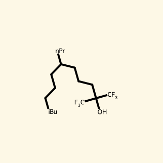 CCCC(CCCC(C)CC)CCCC(O)(C(F)(F)F)C(F)(F)F